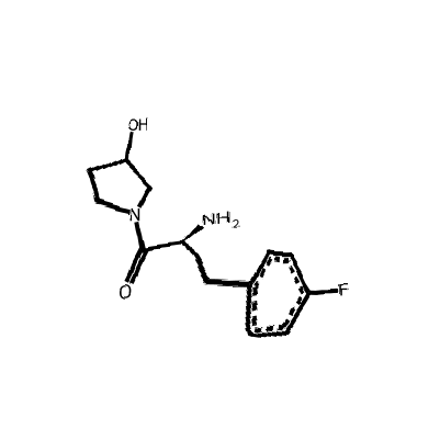 N[C@@H](Cc1ccc(F)cc1)C(=O)N1CCC(O)C1